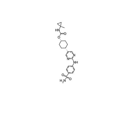 CC1(NC(=O)O[C@H]2CC[C@@H](c3cnc(Nc4ccc(S(N)(=O)=O)cc4)nc3)CC2)CC1